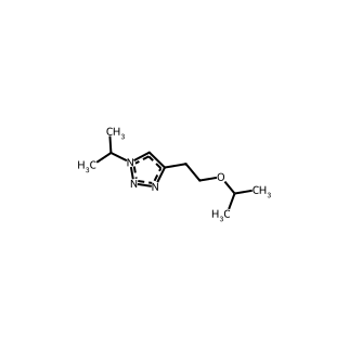 CC(C)OCCc1cn(C(C)C)nn1